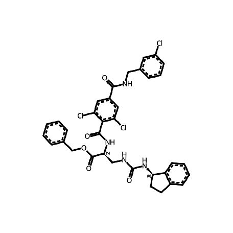 O=C(NC[C@H](NC(=O)c1c(Cl)cc(C(=O)NCc2cccc(Cl)c2)cc1Cl)C(=O)OCc1ccccc1)N[C@@H]1CCc2ccccc21